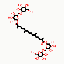 CC(/C=C/C=C(\C)C(=O)O[C@@H]1O[C@H](CO[C@@H]2O[C@H](CO)[C@@H](O)[C@H](O)[C@H]2O)[C@@H](O)[C@H](O)[C@H]1O)=C\C=C\C=C(C)\C=C\C=C(/C)C(=O)O[C@@H]1O[C@H](CO[C@@H]2C[C@H](CO)[C@@H](O)[C@H](O)[C@H]2O)[C@@H](O)[C@H](O)[C@H]1O